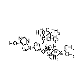 C=C(C)[C@H]1CC[C@@]2(C)S[P@](=S)(O[C@H]3C[C@H](n4cnc5c(O)ncnc54)O[C@@H]3CO[Si](C)(C)C(C)(C)C)O[C@@H]2C1